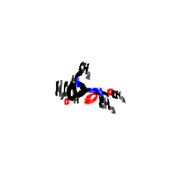 C=C1C[C@@H]2[C@@H](CC1=O)C[C@H](NC(=O)N(C)CCOC)CN2CCC